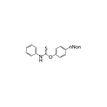 CCCCCCCCCc1ccc(OC(=S)Nc2ccccc2)cc1